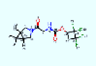 CC1(C)[C@@H]2CN(C(=O)CNC(=O)OC3CC(F)(F)C3(F)F)C[C@@H]21